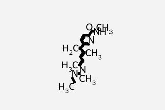 C=C(/C(C)=C/C=C(C)/N=C(C)\N=C/CC)c1ccc(C(=O)NC)nc1